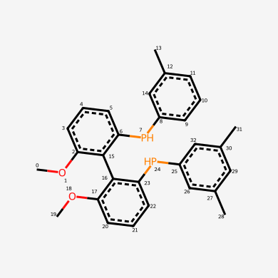 COc1cccc(Pc2cccc(C)c2)c1-c1c(OC)cccc1Pc1cc(C)cc(C)c1